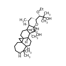 CCO[C@@H]([C@H]1C[C@@H](C)[C@H]2[C@H](O1)[C@H](O)[C@@]1(C)[C@@H]3CC[C@H]4C(C)(C)NCCCC45C[C@@]35CC[C@]21C)C(C)(C)O